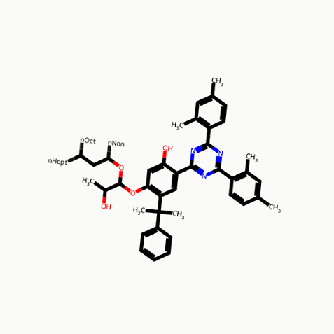 CCCCCCCCCC(CC(CCCCCCC)CCCCCCCC)OC(Oc1cc(O)c(-c2nc(-c3ccc(C)cc3C)nc(-c3ccc(C)cc3C)n2)cc1C(C)(C)c1ccccc1)C(C)O